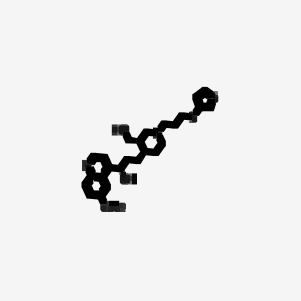 COc1ccc2nccc([C@@H](O)CC[C@@H]3CCN(CCCSc4ccsc4)C[C@@H]3CO)c2c1